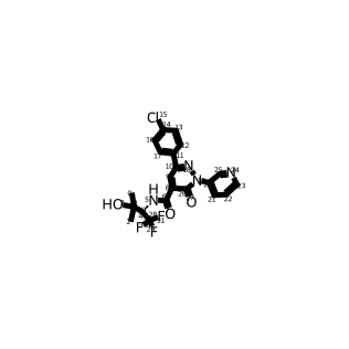 CC(C)(O)[C@H](NC(=O)c1cc(-c2ccc(Cl)cc2)nn(-c2cccnc2)c1=O)C(F)(F)F